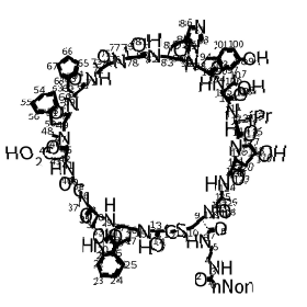 CCCCCCCCCC(=O)NCCNC(=O)[C@@H]1CSCC(=O)N[C@@H](Cc2c[nH]c3ccccc23)C(=O)N[C@@H]([C@@H](C)O)C(=O)N(C)CC(=O)N[C@@H](CC(=O)O)C(=O)N(C)[C@@H](Cc2ccccc2)C(=O)N(C)[C@@H](Cc2ccccc2)C(=O)N[C@@H](C)C(=O)N(C)[C@@H](C)C(=O)N[C@@H](Cc2cnc[nH]2)C(=O)N[C@@H](Cc2ccc(O)cc2)C(=O)N[C@@H]([C@@H](C)O)C(=O)N[C@@H](C(C)C)C(=O)N2C[C@H](O)C[C@H]2C(=O)N[C@@H](C)C(=O)N1